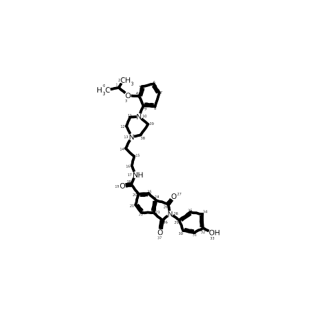 CC(C)Oc1ccccc1N1CCN(CCCNC(=O)c2ccc3c(c2)C(=O)N(c2ccc(O)cc2)C3=O)CC1